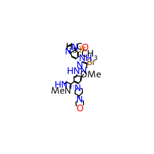 CN/C=C(\C=N)c1cc(Nc2ncc(Br)c(Nc3ccc4nccnc4c3P(C)(C)=O)n2)c(OC)cc1N1CCC(N2CCOCC2)CC1